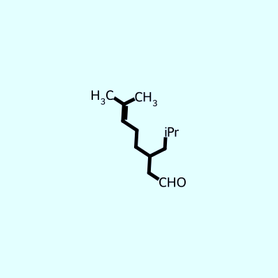 CC(C)=CCCC(CC=O)CC(C)C